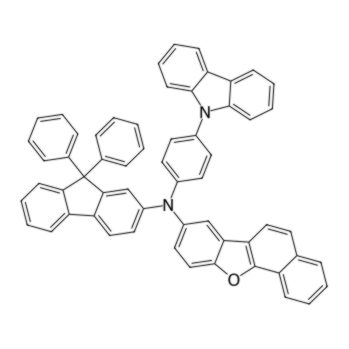 c1ccc(C2(c3ccccc3)c3ccccc3-c3ccc(N(c4ccc(-n5c6ccccc6c6ccccc65)cc4)c4ccc5oc6c7ccccc7ccc6c5c4)cc32)cc1